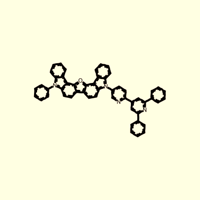 c1ccc(-c2cc(-c3ccc(-n4c5ccccc5c5c6oc7c(ccc8c7c7ccccc7n8-c7ccccc7)c6ccc54)cn3)cc(-c3ccccc3)n2)cc1